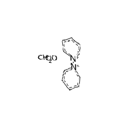 O.[Cl-].[Cl-].c1cc[n+](-[n+]2ccccc2)cc1